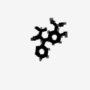 CN(C)C(=O)N(c1ccncc1)c1ccc(Cl)c([N+](=O)[O-])c1